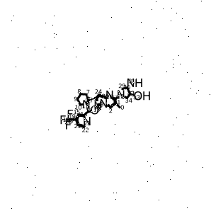 Cc1cn2nc([C@@H]3CCCCN3C(=O)c3cc(C(F)(F)F)ccn3)cc2nc1N1CC(=N)[C@@H](O)C1